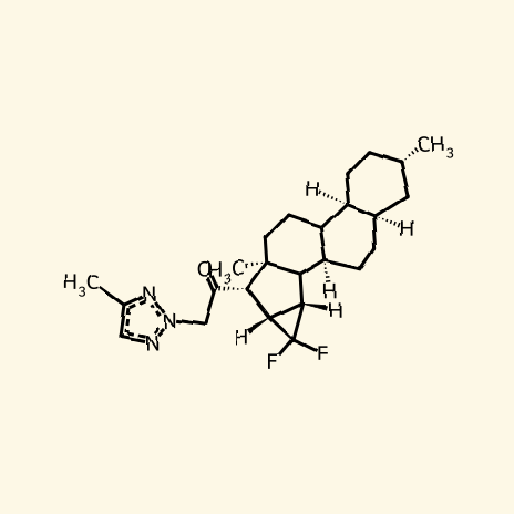 Cc1cnn(CC(=O)[C@H]2[C@@H]3[C@H](C4[C@@H]5CC[C@@H]6C[C@@H](C)CC[C@@H]6C5CC[C@@]42C)C3(F)F)n1